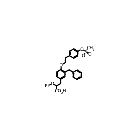 CCOC(Cc1ccc(OCCc2ccc(OS(C)(=O)=O)cc2)c(Cc2ccccc2)c1)C(=O)O